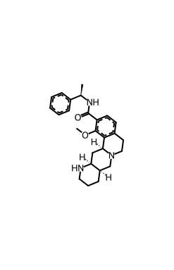 COc1c(C(=O)N[C@H](C)c2ccccc2)ccc2c1[C@@H]1C[C@@H]3NCCC[C@@H]3CN1CC2